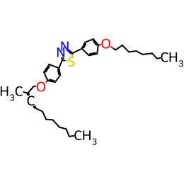 CCCCCCCC=C=C(C)COc1ccc(-c2nnc(-c3ccc(OCCCCCCCC)cc3)s2)cc1